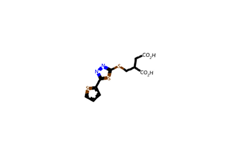 O=C(O)CC(CSc1nnc(-c2cccs2)s1)C(=O)O